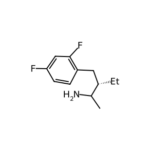 CC[C@@H](Cc1ccc(F)cc1F)C(C)N